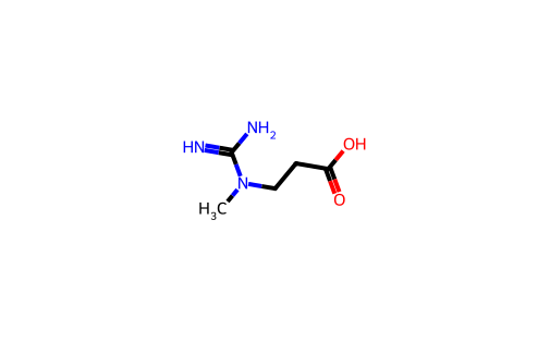 CN(CCC(=O)O)C(=N)N